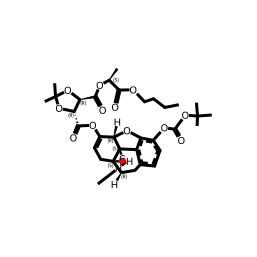 CCCCOC(=O)[C@H](C)OC(=O)[C@@H]1OC(C)(C)O[C@H]1C(=O)OC1=CC[C@@]2(O)[C@H]3Cc4ccc(OC(=O)OC(C)(C)C)c5c4[C@@]2(CCN3C)[C@H]1O5